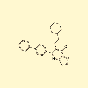 O=c1c2sccc2nc(-c2ccc(-c3ccccc3)cc2)n1CCC1CCCCC1